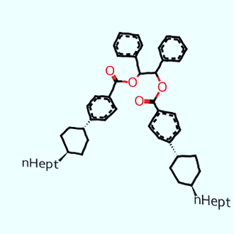 CCCCCCC[C@H]1CC[C@H](c2ccc(C(=O)OC(c3ccccc3)C(OC(=O)c3ccc([C@H]4CC[C@H](CCCCCCC)CC4)cc3)c3ccccc3)cc2)CC1